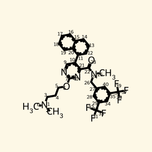 CN(C)CCCOc1ncc(-c2cccc3ccccc23)c(C(=O)N(C)Cc2cc(C(F)(F)F)cc(C(F)(F)F)c2)n1